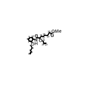 C=CCCCOc1ccccc1NC(=O)C(CCCCCC(=O)OC)OCC=C